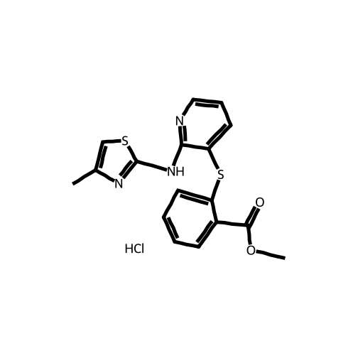 COC(=O)c1ccccc1Sc1cccnc1Nc1nc(C)cs1.Cl